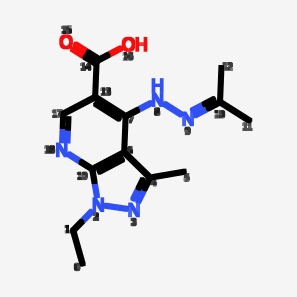 CCn1nc(C)c2c(NN=C(C)C)c(C(=O)O)cnc21